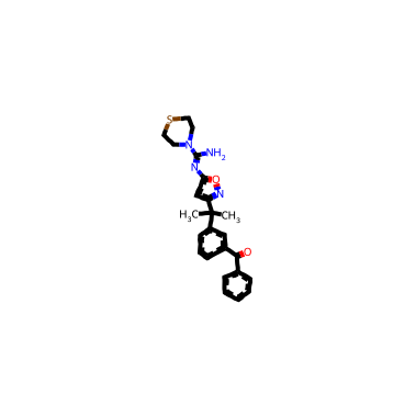 CC(C)(c1cccc(C(=O)c2ccccc2)c1)c1cc(/N=C(\N)N2CCSCC2)on1